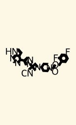 N#CCC1(n2cc(C3N=CN=C4NC=CC43)cn2)CN(C2CCN(C(=O)OCc3ccc(F)cc3F)CC2)C1